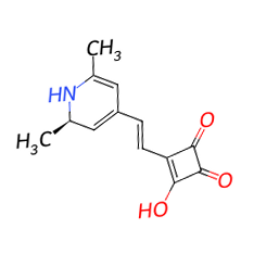 CC1=CC(/C=C/c2c(O)c(=O)c2=O)=C[C@@H](C)N1